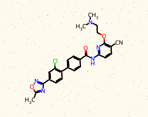 Cc1nc(-c2ccc(-c3ccc(C(=O)Nc4ccc(C#N)c(OCCN(C)C)n4)cc3)c(Cl)c2)no1